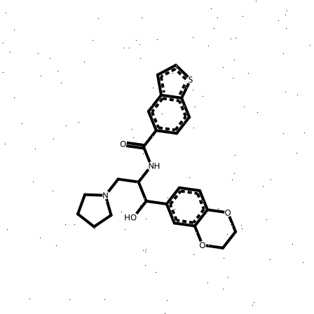 O=C(NC(CN1CCCC1)C(O)c1ccc2c(c1)OCCO2)c1ccc2sccc2c1